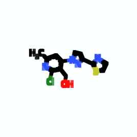 Cc1cc(-n2ccc(-c3nccs3)n2)c(CO)c(Cl)n1